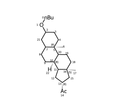 CCCCOC1CC[C@]2(C)C(CC[C@@H]3C4C[C@@H](C(C)=O)C[C@]4(C)CCC32)C1